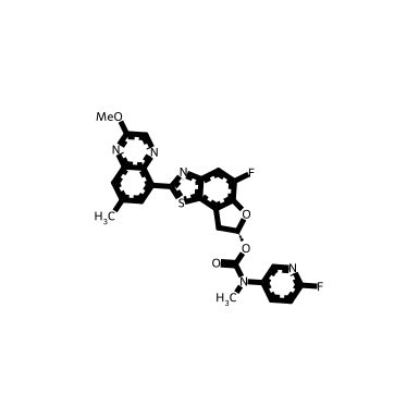 COc1cnc2c(-c3nc4cc(F)c5c(c4s3)C[C@@H](OC(=O)N(C)c3ccc(F)nc3)O5)cc(C)cc2n1